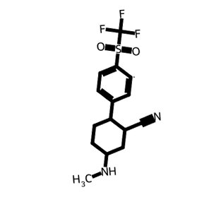 CNC1CCC(c2c[c]c(S(=O)(=O)C(F)(F)F)cc2)C(C#N)C1